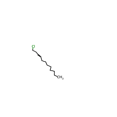 CCCCCCCCC=CCCCl